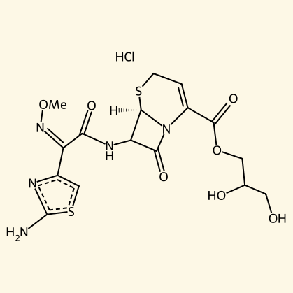 CO/N=C(\C(=O)NC1C(=O)N2C(C(=O)OCC(O)CO)=CCS[C@H]12)c1csc(N)n1.Cl